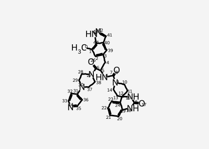 Cc1cc(CC(NC(=O)N2CCC3(CC2)NC(=O)Nc2ccccc23)C(=O)N2CCN(c3ccncc3)CC2)cc2cn[nH]c12